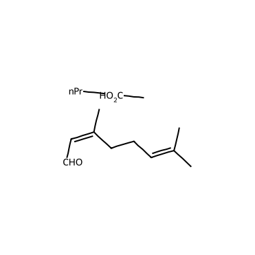 CC(=O)O.CC(C)=CCCC(C)=CC=O.CCCC